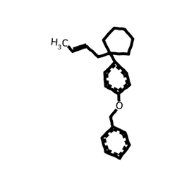 CC=CCC1(c2ccc(OCc3ccccc3)cc2)CCCCC1